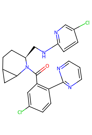 O=C(c1cc(Cl)ccc1-c1ncccn1)N1C2CC2CC[C@H]1CNc1ccc(Cl)cn1